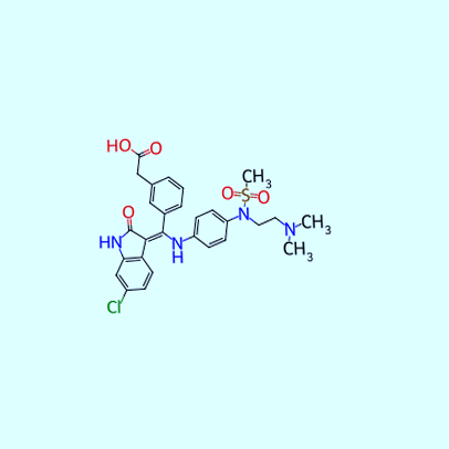 CN(C)CCN(c1ccc(NC(=C2C(=O)Nc3cc(Cl)ccc32)c2cccc(CC(=O)O)c2)cc1)S(C)(=O)=O